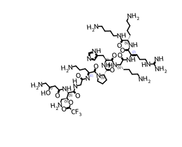 N=C(N)NCC/C=C(\NC(=O)[C@H](CCCCN)NC(=O)[C@H](Cc1cnc[nH]1)NC(=O)[C@@H]1CCCN1C(=O)/C(CCCN)=N/C(=O)CNC(=O)[C@@H](NC(=O)C[C@@H](O)CN)[C@H](CN)OC(=O)C(F)(F)F)C(=O)N[C@@H](CCCCN)C(=O)NCCCCN